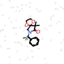 C[C@H](c1ccccc1)N1CC2(OCCO2)C(C)(C)C1=O